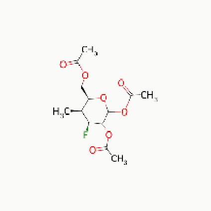 CC(=O)OC[C@H]1OC(OC(C)=O)[C@H](OC(C)=O)[C@@H](F)[C@H]1C